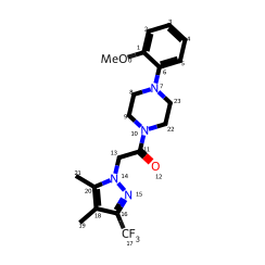 COc1ccccc1N1CCN(C(=O)Cn2nc(C(F)(F)F)c(C)c2C)CC1